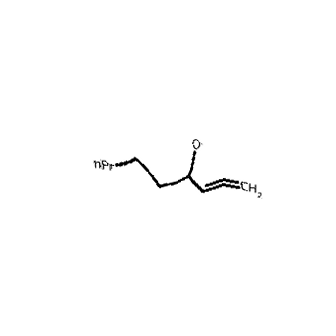 C=CC([O])CCCCC